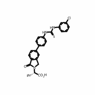 CC(C)[C@@H](C(=O)O)N1Cc2cc(-c3ccc(NC(=S)Nc4cccc(Cl)c4)cc3)ccc2C1=O